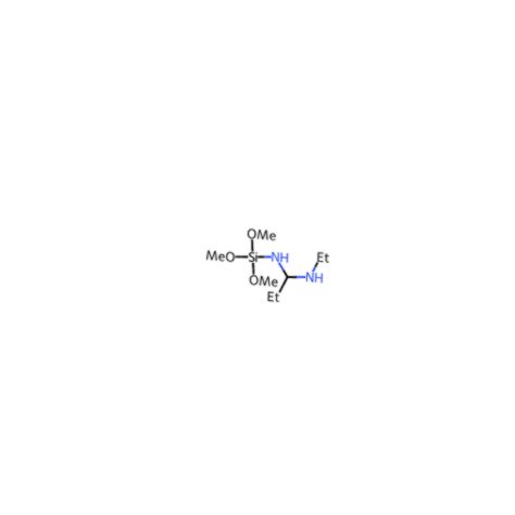 CCNC(CC)N[Si](OC)(OC)OC